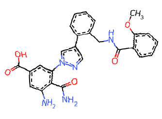 COc1ccccc1C(=O)NCc1ccccc1-c1cnn(-c2cc(C(=O)O)cc(N)c2C(N)=O)c1